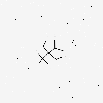 OCC(CO)(C(F)F)C(F)(F)F